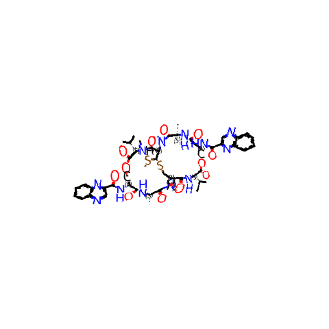 CSC1SC[C@H]2C(=O)N[C@@H](C(C)C)C(=O)OC[C@@H](NC(=O)c3cnc4ccccc4n3)C(=O)N[C@@H](C)C(=O)N(C)[C@@H]1C(=O)N(C)[C@@H](C(C)C)C(=O)OC[C@@H](NC(=O)c1cnc3ccccc3n1)C(=O)N[C@@H](C)C(=O)N2C